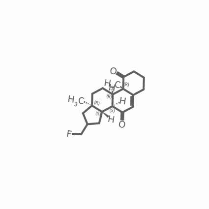 C[C@]12CC[C@@H]3[C@@H](C(=O)C=C4CCCC(=O)[C@@]43C)[C@@H]1CC(CF)C2